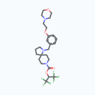 O=C(OC(C(F)(F)F)C(F)(F)F)N1CCC2(CCCN2Cc2cccc(OCCN3CCOCC3)c2)CC1